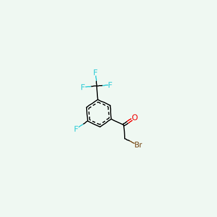 O=C(CBr)c1cc(F)cc(C(F)(F)F)c1